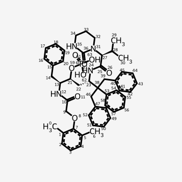 Cc1cccc(C)c1OCC(=O)N[C@@H](Cc1ccccc1)[C@H](C[C@H](NC(=O)[C@H](C(C)C)N1CCCNC1=O)C(Cc1ccccc1)(Cc1ccccc1)c1ccccc1)OP(=O)(O)O